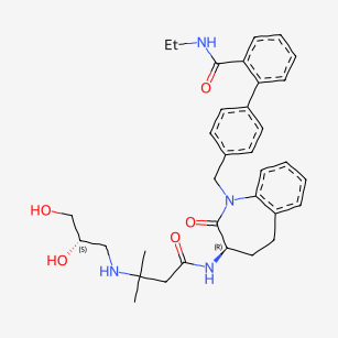 CCNC(=O)c1ccccc1-c1ccc(CN2C(=O)[C@H](NC(=O)CC(C)(C)NC[C@H](O)CO)CCc3ccccc32)cc1